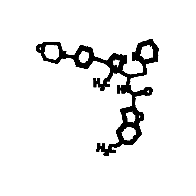 Cc1ccc2oc(C(=O)NC(Cc3ccccn3)c3ncc(-c4ccc(N5CCOCC5)cc4)n3C)cc2c1